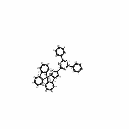 c1ccc(-c2nc(-c3ccccc3)nc(-c3cc4c(s3)C3(c5ccccc5-c5ccccc53)c3ccccc3-4)n2)cc1